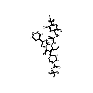 CCc1c(N2CCN(C(=O)OC(C)(C)C)CC2)c(=O)n2nc(C3=CCOCC3)nc2n1CC(=O)Nc1cc(Cl)c(C(F)(F)F)nc1C